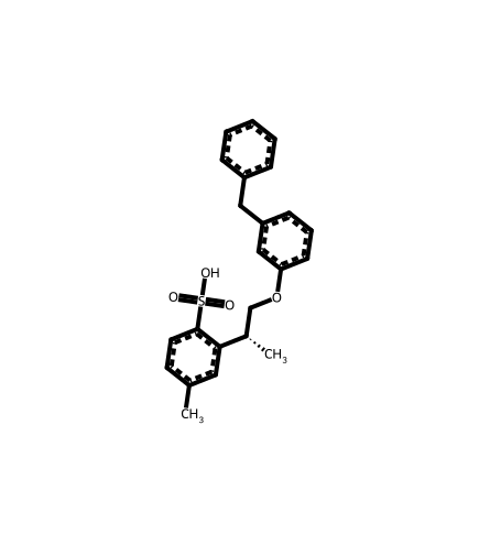 Cc1ccc(S(=O)(=O)O)c([C@@H](C)COc2cccc(Cc3ccccc3)c2)c1